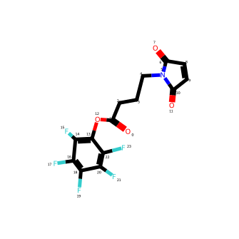 O=C(CCCN1C(=O)C=CC1=O)Oc1c(F)c(F)c(F)c(F)c1F